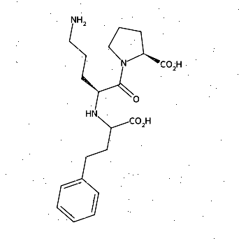 NCCC[C@H](NC(CCc1ccccc1)C(=O)O)C(=O)N1CCC[C@H]1C(=O)O